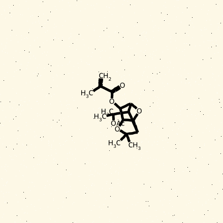 C=C(C)C(=O)OC1C2OC(C)(C)C3C2OC1C3C(C)(C)OC(C)=O